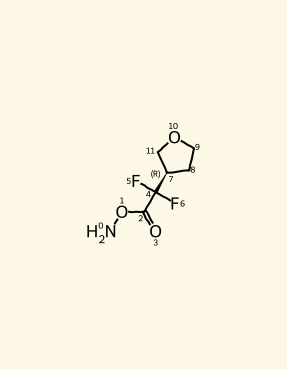 NOC(=O)C(F)(F)[C@@H]1CCOC1